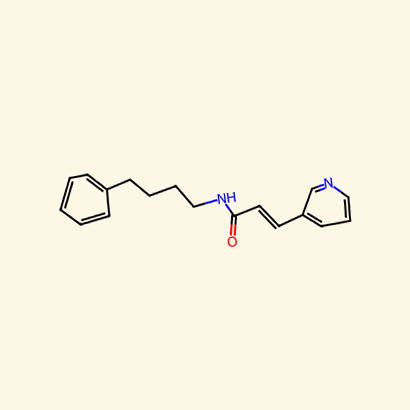 O=C(/C=C/c1cccnc1)NCCCCc1ccccc1